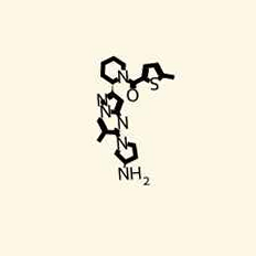 Cc1ccc(C(=O)N2CCCC[C@H]2c2cc3nc(N4CC[C@H](N)C4)c(C)cn3n2)s1